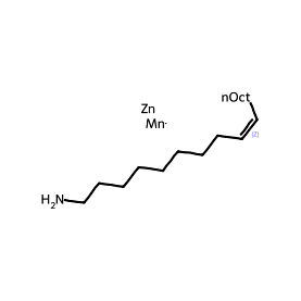 CCCCCCCC/C=C\CCCCCCCCN.[Mn].[Zn]